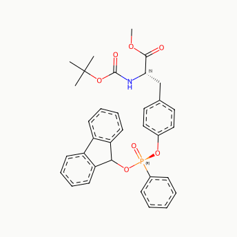 COC(=O)[C@H](Cc1ccc(O[P@](=O)(OC2c3ccccc3-c3ccccc32)c2ccccc2)cc1)NC(=O)OC(C)(C)C